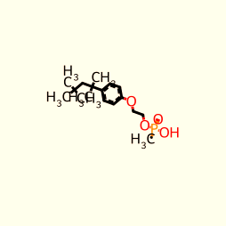 CC(C)(C)CC(C)(C)c1ccc(OCCOP(C)(=O)O)cc1